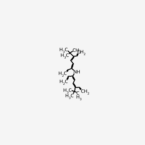 C=C/C(=C\C=C(/C=C)C(C)(C)C)N/C(C=C)=C/C=C(\C=C)C(C)(C)C